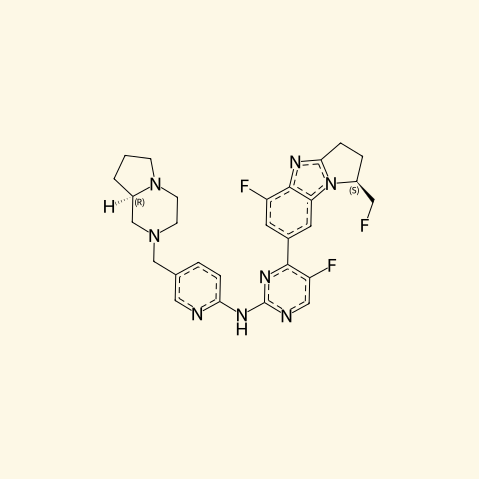 FC[C@@H]1CCc2nc3c(F)cc(-c4nc(Nc5ccc(CN6CCN7CCC[C@@H]7C6)cn5)ncc4F)cc3n21